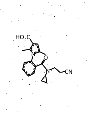 Cc1cc(C(=O)O)c(C)n1-c1ccccc1C(=O)N(CCC#N)C1CC1